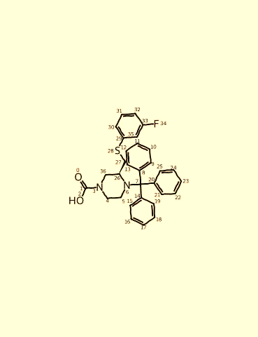 O=C(O)N1CCN(C(c2ccccc2)(c2ccccc2)c2ccccc2)[C@H](CSc2cccc(F)c2)C1